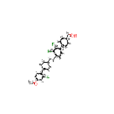 CCOc1ccc(C2=CCC(CCc3ccc(-c4ccc(CO)cc4)c(F)c3F)CC2)c(F)c1